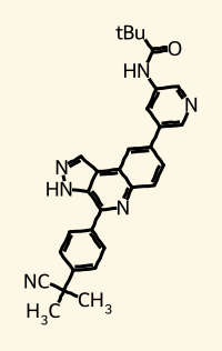 CC(C)(C)C(=O)Nc1cncc(-c2ccc3nc(-c4ccc(C(C)(C)C#N)cc4)c4[nH]ncc4c3c2)c1